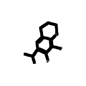 CC(C)c1cc2c(c(F)c1F)OCCC2